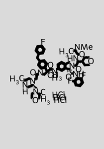 CN[C@@H](C)C(=O)N[C@H](C(=O)N1Cc2ccc(NC(=O)[C@@]3(C)CN(C(=O)CN4C[C@@H](C)NC[C@@H]4CN4CCOC[C@H]4C)c4cc(Cc5ccc(F)cc5)ccc43)cc2[C@H]1C(=O)Nc1c(F)cccc1F)C1CCOCC1.Cl.Cl.Cl